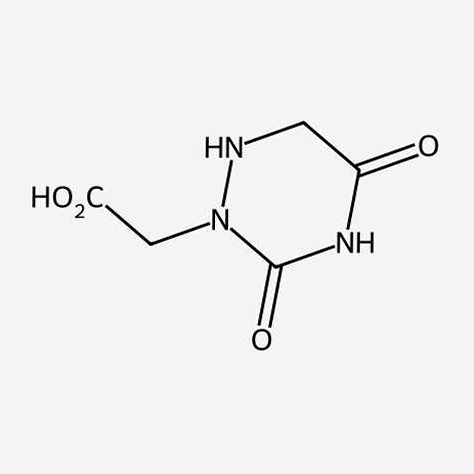 O=C(O)CN1NCC(=O)NC1=O